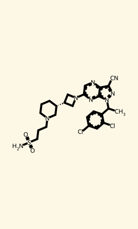 CC(c1ccc(Cl)cc1Cl)n1nc(C#N)c2ncc(N3CC([C@H]4CCCN(CCCS(N)(=O)=O)C4)C3)nc21